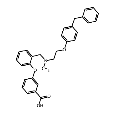 CN(CCOc1ccc(Cc2ccccc2)cc1)Cc1ccccc1Oc1cccc(C(=O)O)c1